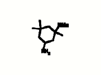 CNC1(C)CC(N)CC(C)(C)C1